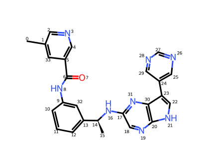 Cc1cncc(C(=O)Nc2cccc([C@H](C)Nc3cnc4[nH]cc(-c5cncnc5)c4n3)c2)c1